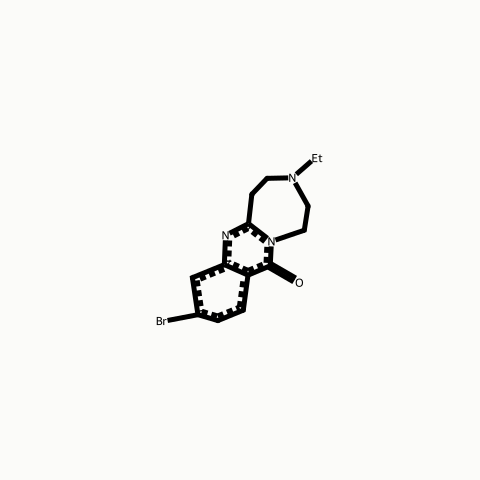 CCN1CCc2nc3cc(Br)ccc3c(=O)n2CC1